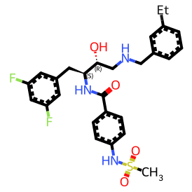 CCc1cccc(CNC[C@@H](O)[C@H](Cc2cc(F)cc(F)c2)NC(=O)c2ccc(NS(C)(=O)=O)cc2)c1